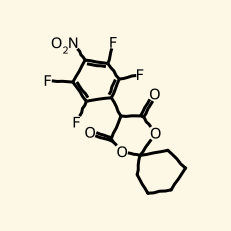 O=C1OC2(CCCCC2)OC(=O)C1c1c(F)c(F)c([N+](=O)[O-])c(F)c1F